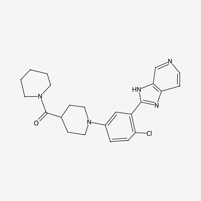 O=C(C1CCN(c2ccc(Cl)c(-c3nc4ccncc4[nH]3)c2)CC1)N1CCCCC1